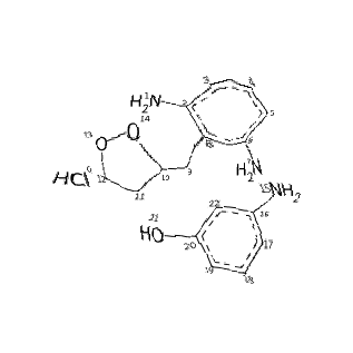 Cl.Nc1cccc(N)c1CC1CCOO1.Nc1cccc(O)c1